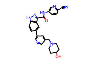 N#Cc1ccc(NC(=O)c2n[nH]c3ccc(-c4cncc(CN5CCC(O)CC5)c4)cc23)cn1